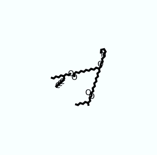 C=C=C=C=CC(CCCCC)CCOC(=O)CCCCCCCCCC(CCCCCCCCCC(=O)OCCC(C)CCCCC)COCCCN1CCCC1